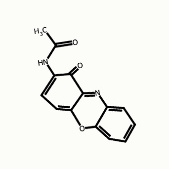 CC(=O)Nc1ccc2oc3ccccc3nc-2c1=O